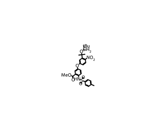 COC(=O)c1cc(Oc2ccc([N+](=O)[O-])c(C(C)(C)O[SiH2]C(C)(C)C)c2)ccc1NS(=O)(=O)c1ccc(C)cc1